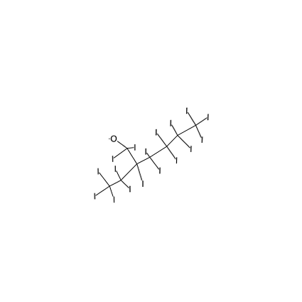 [O]C(I)(I)C(I)(C(I)(I)C(I)(I)I)C(I)(I)C(I)(I)C(I)(I)C(I)(I)I